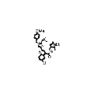 CCn1ncc(CN(C)C(=O)c2cc(-c3cn(Cc4ccc(OC)cc4)c(CN(C)C)n3)nc3ccc(Cl)cc23)c1C